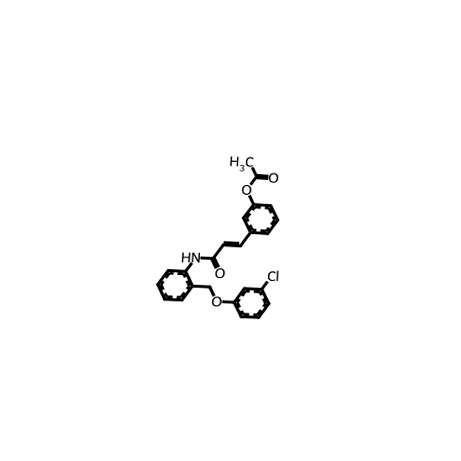 CC(=O)Oc1cccc(C=CC(=O)Nc2ccccc2COc2cccc(Cl)c2)c1